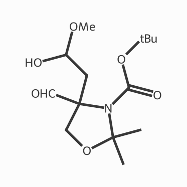 COC(O)CC1(C=O)COC(C)(C)N1C(=O)OC(C)(C)C